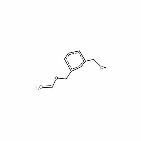 C=COCc1cccc(CO)c1